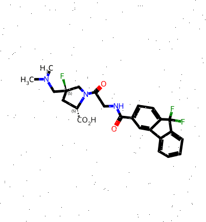 CN(C)C[C@@]1(F)C[C@@H](C(=O)O)N(C(=O)CNC(=O)c2ccc3c(c2)-c2ccccc2C3(F)F)C1